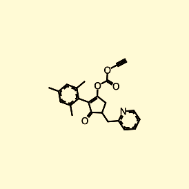 C#COC(=O)OC1=C(c2c(C)cc(C)cc2C)C(=O)C(Cc2ccccn2)C1